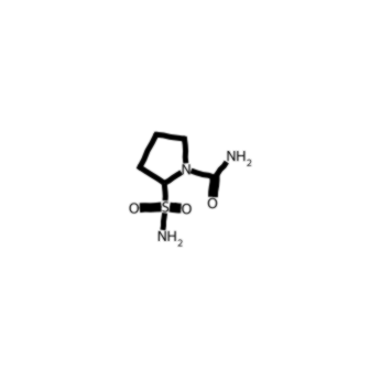 NC(=O)N1CCCC1S(N)(=O)=O